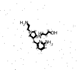 NCCN1C[C@H](Cc2cccc(N)n2)[C@@H](NCCCO)C1